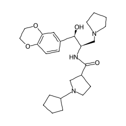 O=C(N[C@H](CN1CCCC1)[C@H](O)c1ccc2c(c1)OCCO2)C1CCN(C2CCCC2)C1